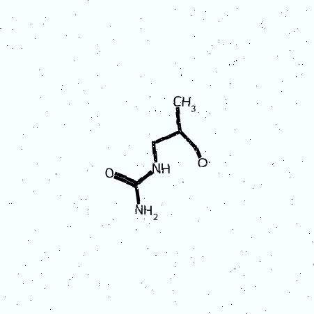 CC(C[O])CNC(N)=O